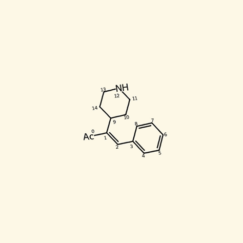 CC(=O)C(=Cc1ccccc1)C1CCNCC1